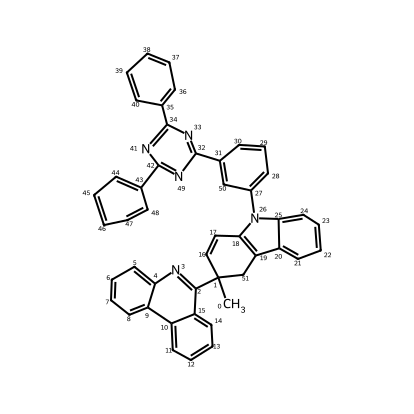 CC1(c2nc3ccccc3c3ccccc23)C=Cc2c(c3ccccc3n2-c2cccc(-c3nc(-c4ccccc4)nc(-c4ccccc4)n3)c2)C1